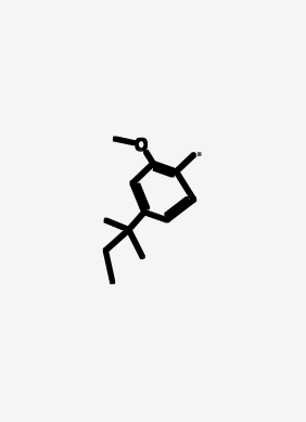 [CH2]c1ccc(C(C)(C)CC)cc1OC